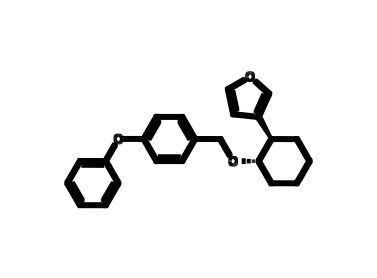 c1ccc(Oc2ccc(CO[C@H]3CCCC[C@@H]3c3ccoc3)cc2)cc1